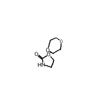 C1COCCO1.O=C1NCCO1